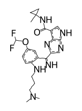 CN(C)CCCNc1ccc(OC(F)F)cc1C(=N)c1cnc2[nH]cc(C(=O)NC3(C)CC3)c2n1